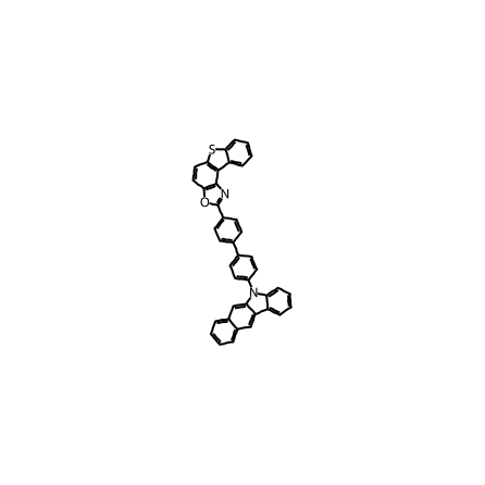 c1ccc2cc3c(cc2c1)c1ccccc1n3-c1ccc(-c2ccc(-c3nc4c(ccc5sc6ccccc6c54)o3)cc2)cc1